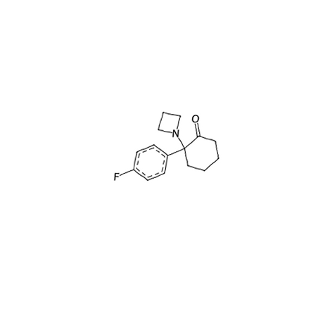 O=C1CCCCC1(c1ccc(F)cc1)N1CCC1